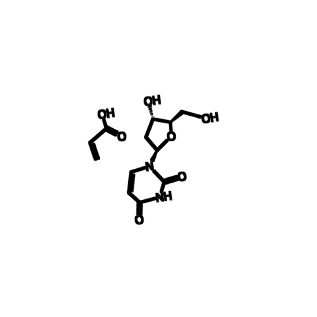 C=CC(=O)O.O=c1ccn([C@H]2C[C@H](O)[C@@H](CO)O2)c(=O)[nH]1